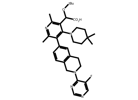 Cc1nc(C)c(C(OC(C)(C)C)C(=O)O)c(N2CCC(C)(C)CC2)c1-c1ccc2c(c1)CCN(c1ncncc1F)C2